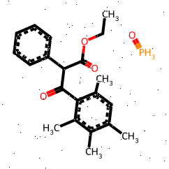 CCOC(=O)C(C(=O)c1c(C)cc(C)c(C)c1C)c1ccccc1.O=[PH3]